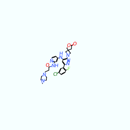 CN1CCN(CCC(=O)Nc2cc(Nc3cc(-c4cc(Cl)ccc4F)nnc3N3CC4(COC(=O)C4)C3)ccn2)CC1